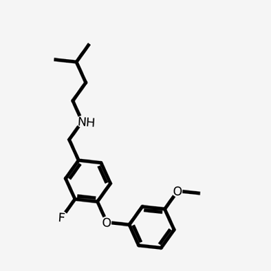 COc1cccc(Oc2ccc(CNCCC(C)C)cc2F)c1